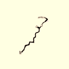 CCCCCC/C=C\COC(=O)CCCCCCCCCBr